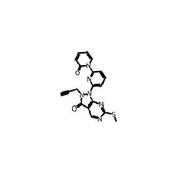 C#CCn1c(=O)c2cnc(SC)nc2n1-c1cccc(-n2ccccc2=O)n1